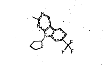 Cc1ncc2c3ccc(C(F)(F)F)cc3n(C3CCCC3)c2n1